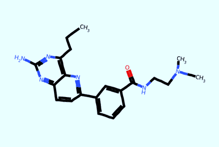 CCCc1nc(N)nc2ccc(-c3cccc(C(=O)NCCN(C)C)c3)nc12